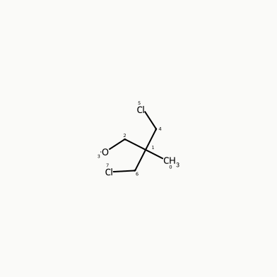 CC(C[O])(CCl)CCl